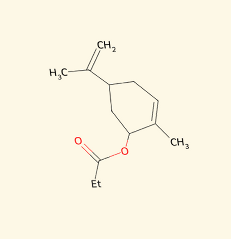 C=C(C)C1CC=C(C)C(OC(=O)CC)C1